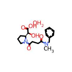 CN(Cc1ccccc1)C(=O)CCC(=O)N1CCC[C@H]1C(O)C(=O)O.O